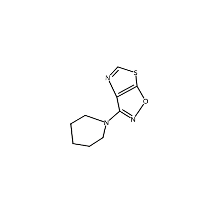 c1nc2c(N3CCCCC3)noc2s1